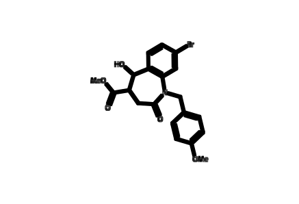 COC(=O)C1CC(=O)N(Cc2ccc(OC)cc2)c2cc(Br)ccc2C1O